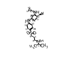 CC(C)NCCCS(=O)(=O)c1ccc(Nc2ncc(C#N)c(NC3CC3)n2)cc1